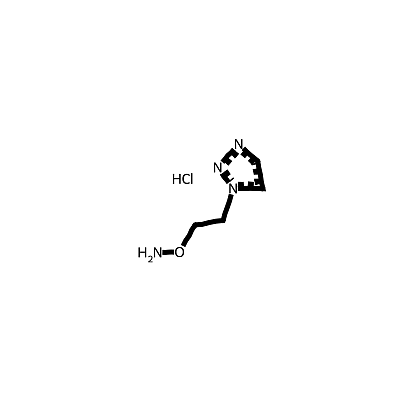 Cl.NOCCn1ccnn1